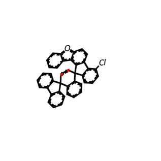 Clc1cccc2c1-c1ccc3oc4ccccc4c3c1C21c2ccccc2C2(c3ccccc3-c3ccccc32)c2ccccc21